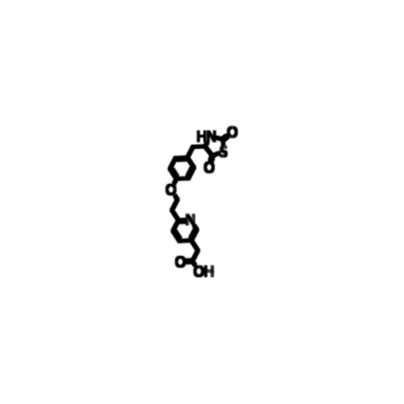 O=C(O)Cc1ccc(CCOc2ccc(CC3NC(=O)SC3=O)cc2)nc1